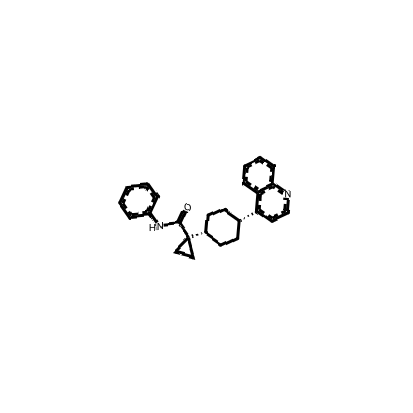 O=C(Nc1ccccc1)C1([C@H]2CC[C@@H](c3ccnc4ccccc43)CC2)CC1